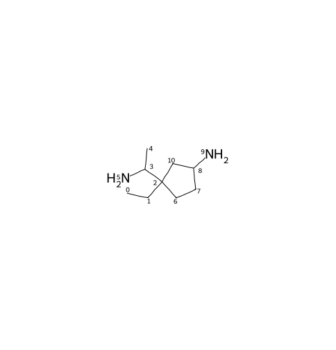 CCC1(C(C)N)CCC(N)C1